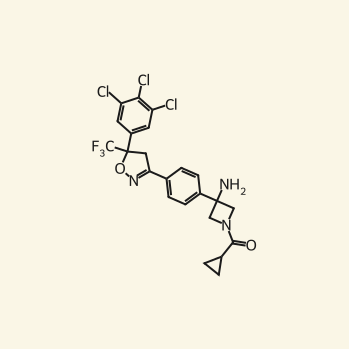 NC1(c2ccc(C3=NOC(c4cc(Cl)c(Cl)c(Cl)c4)(C(F)(F)F)C3)cc2)CN(C(=O)C2CC2)C1